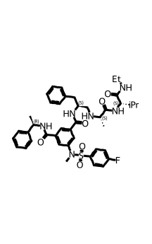 CCNC(=O)[C@@H](NC(=O)[C@H](C)NC[C@H](Cc1ccccc1)NC(=O)c1cc(C(=O)N[C@H](C)c2ccccc2)cc(N(C)S(=O)(=O)c2ccc(F)cc2)c1)C(C)C